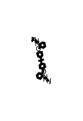 CN(C)N=Nc1ccccc1Oc1ccc(C(C)(C)c2ccc(Oc3ccccc3N=NN(C)C)cc2)cc1